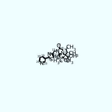 CC[C@H](C)[C@](C(=O)O)(N1CC(=O)N(Cc2csc(-c3cccnc3)n2)C1=O)C(C)(C)C